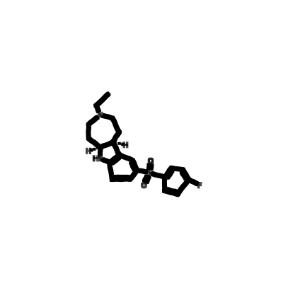 CCN1CC[C@@H]2Nc3ccc(S(=O)(=O)c4ccc(F)cc4)cc3[C@@H]2CC1